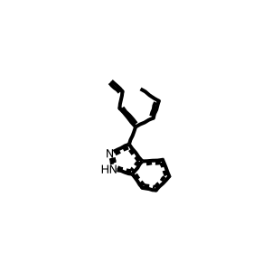 C=C/C=C(\C=C/C)c1n[nH]c2ccccc12